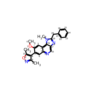 COc1cc2c(cc1-c1c(C)noc1C)ncc1nc(Cc3ccccc3)n(C)c12